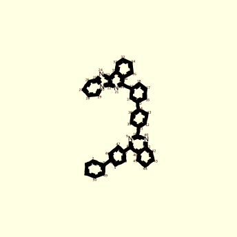 c1ccc(-c2ccc(-c3nc(-c4ccc(-c5cccc(-c6nc7c(nc8ccccn87)c7ccccc67)c5)cc4)nc4ccccc34)cc2)cc1